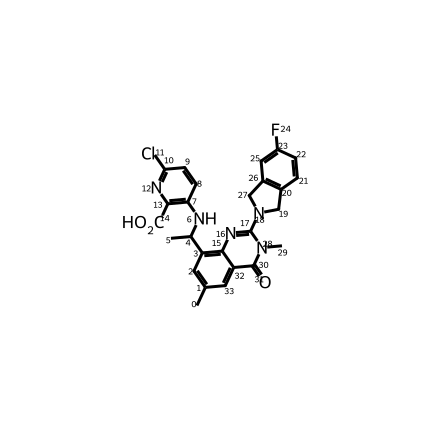 Cc1cc(C(C)Nc2ccc(Cl)nc2C(=O)O)c2nc(N3Cc4ccc(F)cc4C3)n(C)c(=O)c2c1